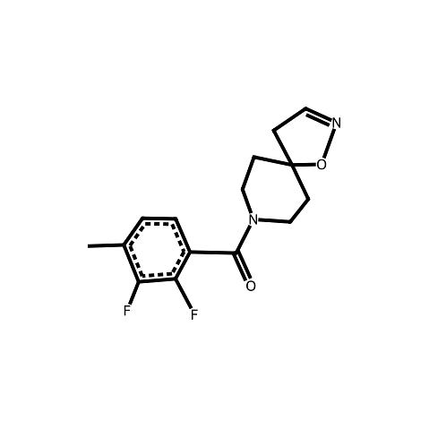 Cc1ccc(C(=O)N2CCC3(CC=NO3)CC2)c(F)c1F